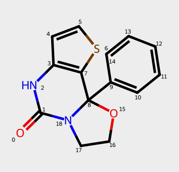 O=C1Nc2ccsc2C2(c3ccccc3)OCCN12